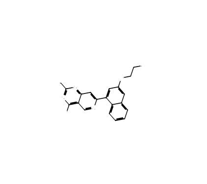 CCCOc1cc(-c2cc3nc(Cl)nc(Cl)c3cn2)c2ccccc2c1